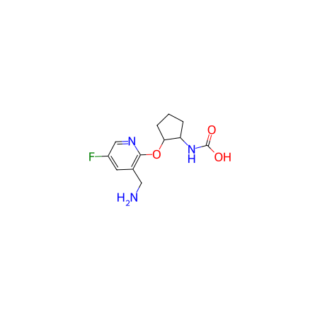 NCc1cc(F)cnc1OC1CCCC1NC(=O)O